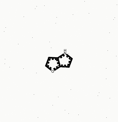 [c]1coc2[c]c[nH]c12